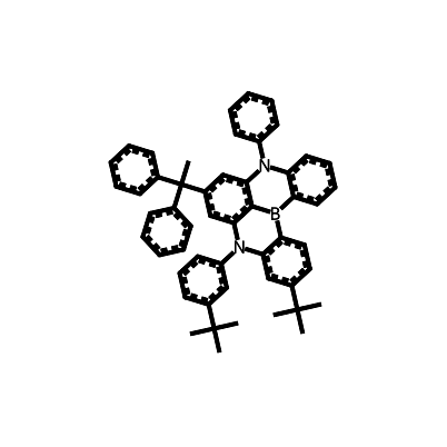 CC(C)(C)c1cccc(N2c3cc(C(C)(C)C)ccc3B3c4ccccc4N(c4ccccc4)c4cc(C(C)(c5ccccc5)c5ccccc5)cc2c43)c1